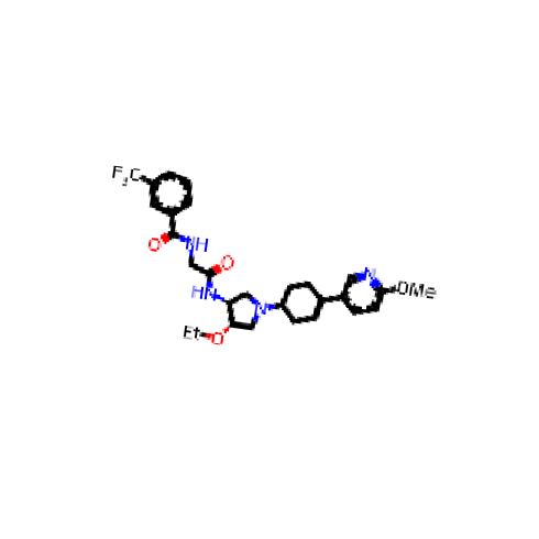 CCO[C@@H]1CN(C2CCC(c3ccc(OC)nc3)CC2)C[C@@H]1NC(=O)CNC(=O)c1cccc(C(F)(F)F)c1